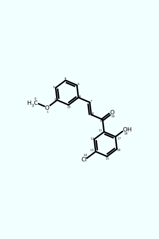 COc1cccc(C=CC(=O)c2cc(Cl)ccc2O)c1